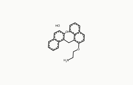 Cl.NCCOc1ccc2ccccc2c1Cc1c(O)ccc2ccccc12